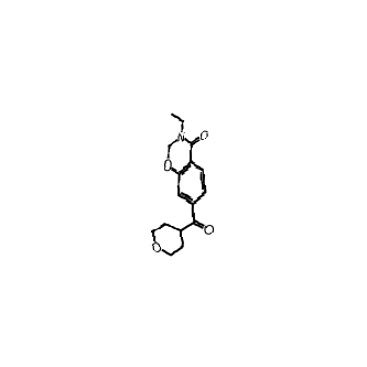 CCN1COc2cc(C(=O)C3CCOCC3)ccc2C1=O